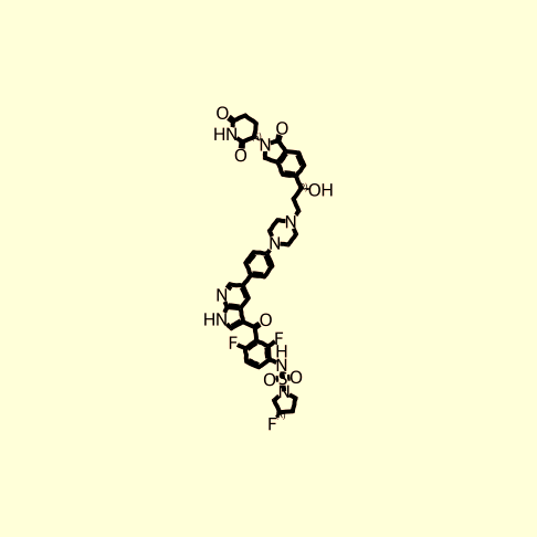 O=C1CC[C@H](N2Cc3cc([C@H](O)CCN4CCN(c5ccc(-c6cnc7[nH]cc(C(=O)c8c(F)ccc(NS(=O)(=O)N9CC[C@@H](F)C9)c8F)c7c6)cc5)CC4)ccc3C2=O)C(=O)N1